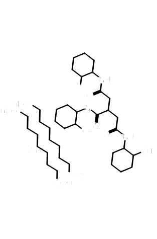 CC1CCCCC1NC(=O)CC(CC(=O)NC1CCCCC1C)C(=O)NC1CCCCC1C.CCCCCCCCCCCCCCCCCC(=O)[O-].CCCCCCCCCCCCCCCCCC(=O)[O-].[Zn+2]